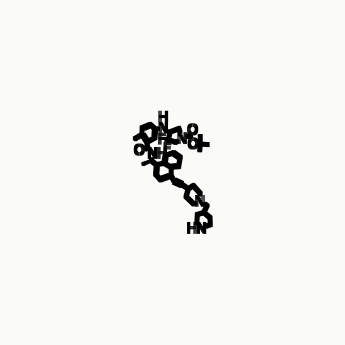 Cc1ccc(N[C@@H]2CN(C(=O)OC(C)(C)C)CC2(F)F)cc1C(=O)N[C@H](C)c1ccc(C#CC2CCN(CC3CCNCC3)CC2)c2ccccc12